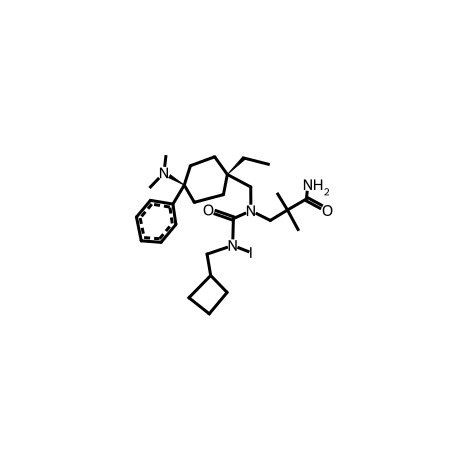 CC[C@]1(CN(CC(C)(C)C(N)=O)C(=O)N(I)CC2CCC2)CC[C@](c2ccccc2)(N(C)C)CC1